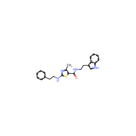 Cc1nc(NCCc2ccccc2)sc1C(=O)NCCc1c[nH]c2ccccc12